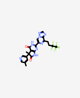 Cc1cncc(C2(C)C(=O)Nc3nc(-c4cn5ncnc5c(CCC(F)(F)C(F)(F)F)n4)[nH]c(=O)c32)c1